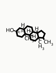 CC1CC[C@H]2[C@@H]3CC[C@@H]4C[C@H](O)CC[C@]4(C)[C@H]3CC[C@]12C